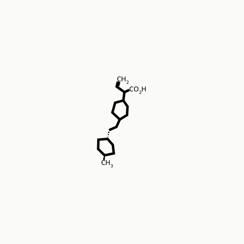 C=CC(C(=O)O)C1CCC(CC[C@H]2CC[C@H](C)CC2)CC1